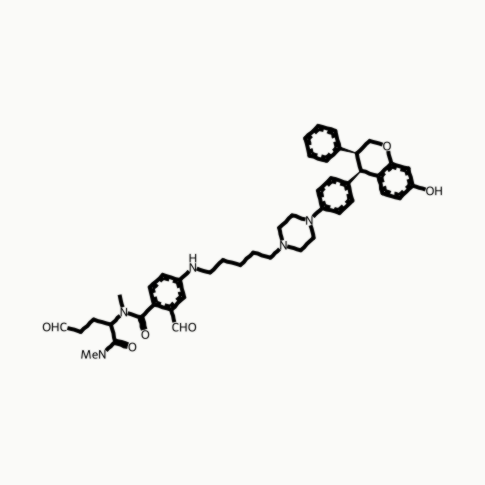 CNC(=O)C(CCC=O)N(C)C(=O)c1ccc(NCCCCCN2CCN(c3ccc([C@@H]4c5ccc(O)cc5OC[C@@H]4c4ccccc4)cc3)CC2)cc1C=O